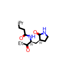 CCC(=O)[C@H](C[C@@H]1CCNC1=O)NC(=O)CCC(C)C